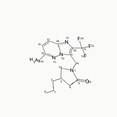 CCCC1CC(=O)N(Cc2c(C(F)(F)F)nc3ccc([AsH2])nn23)C1